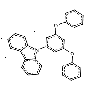 c1ccc(Oc2cc(Oc3ccccc3)cc(-n3c4ccccc4c4ccccc43)c2)cc1